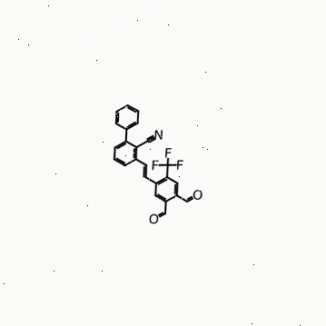 N#Cc1c(/C=C/c2cc(C=O)c(C=O)cc2C(F)(F)F)cccc1-c1ccccc1